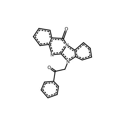 O=C(Cn1c2ccccc2n2c(=O)c3ccccc3nc12)c1ccccc1